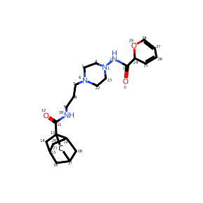 O=C(NN1CCN(CCCNC(=O)C23CC4CC(CC2C4)C3)CC1)C1C=CC=CO1